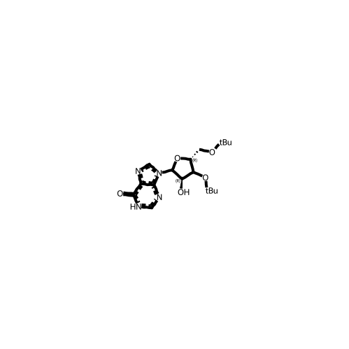 CC(C)(C)OC[C@H]1OC(n2cnc3c(=O)[nH]cnc32)[C@H](O)C1OC(C)(C)C